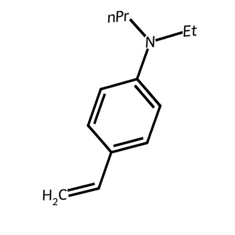 C=Cc1ccc(N(CC)CCC)cc1